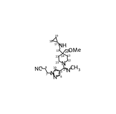 C/N=C(/c1cnn(CCC#N)c1)N1CCC(CNC2CC2)(COC)CC1